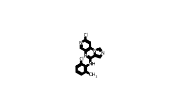 Cc1cccc(Cl)c1Nc1nc2cnc(Cl)cc2n2cncc12